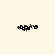 C[C@]12CCC(=O)C=C1CC[C@@H]1[C@@H]2CC[C@]2(C)C(C(=O)COc3ccccc3)=CC[C@@H]12